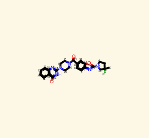 CC1(F)CCN(c2nc3ccc(C(=O)N4CCN(c5nc6ccccc6c(=O)[nH]5)CC4)cc3o2)C1